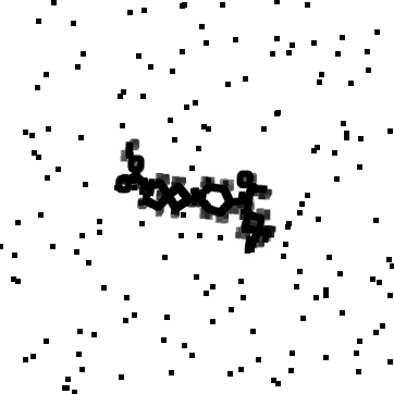 CCOC(=O)N1CCC2(CC(N3CCC(N(C(C)=O)C4CC(F)(F)C4)CC3)C2)C1